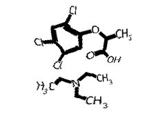 CC(Oc1cc(Cl)c(Cl)cc1Cl)C(=O)O.CCN(CC)CC